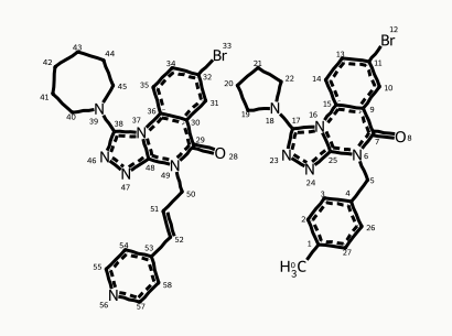 Cc1ccc(Cn2c(=O)c3cc(Br)ccc3n3c(N4CCCC4)nnc23)cc1.O=c1c2cc(Br)ccc2n2c(N3CCCCCC3)nnc2n1CC=Cc1ccncc1